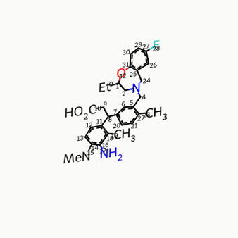 CCC1CN(Cc2cc(C(CC(=O)O)c3ccc(NC)c(N)c3C)ccc2C)Cc2cc(F)ccc2O1